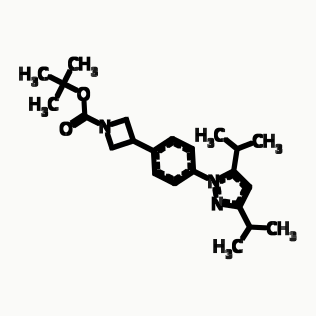 CC(C)c1cc(C(C)C)n(-c2ccc(C3CN(C(=O)OC(C)(C)C)C3)cc2)n1